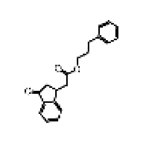 O=C(CC1CC(=O)c2ccccc21)OCCCc1ccccc1